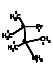 CC(C)C(C)(C)C(C)(C)N